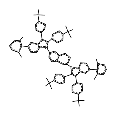 Cc1cccc(C)c1-c1ccc2c(c1)c(-c1ccc(C(C)(C)C)cc1)c(-c1ccc(C(C)(C)C)cc1)n2-c1ccc2cc(-n3c(-c4ccc(C(C)(C)C)cc4)c(-c4ccc(C(C)(C)C)cc4)c4cc(-c5c(C)cccc5C)ccc43)ccc2c1